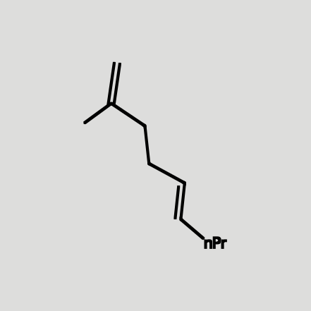 C=C(C)CCC=CCCC